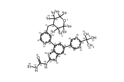 [2H]C1([2H])OC([2H])([2H])C([2H])([2H])C(Cc2ccnc(-c3cc(-c4cnc(C(C)(C)O)nc4)cc4nc(NC(=O)NCC)sc34)c2)C1([2H])[2H]